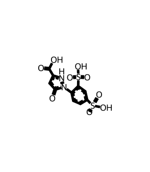 O=C(O)c1cc(=O)n(-c2ccc(S(=O)(=O)O)cc2S(=O)(=O)O)[nH]1